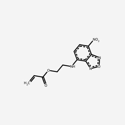 C=CC(=O)OCCNc1ccc([N+](=O)[O-])c2nonc12